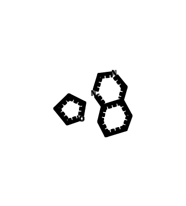 c1ccc2ncncc2c1.c1ccoc1